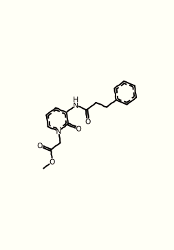 COC(=O)Cn1cccc(NC(=O)CCc2ccccc2)c1=O